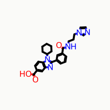 O=C(O)c1ccc2c(c1)nc(-c1cccc(C(=O)NCCCn3ccnc3)c1)n2C1CCCCC1